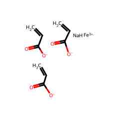 C=CC(=O)[O-].C=CC(=O)[O-].C=CC(=O)[O-].[Fe+3].[NaH]